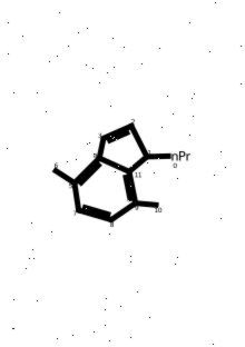 CCCC1C=Cc2c(C)ccc(C)c21